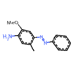 COc1cc(N=Nc2ccccc2)c(C)cc1N